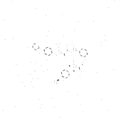 CC(C)(Oc1cccc(N2CCC[C@@H](C(=O)N(Cc3ccc(-c4cccs4)cc3)C3CC3)C2)c1)C(=O)NS(=O)(=O)c1ccc(C#N)cc1